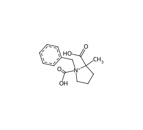 CC1(C(=O)O)CCC[N+]1(Cc1ccccc1)C(=O)O